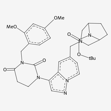 COc1ccc(CN2C(=O)CCN(c3cnn4ccc(CN5CC6CCC(C5)N6C(=O)OC(C)(C)C)cc34)C2=O)c(OC)c1